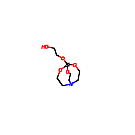 OCCO[Si]12OCCN(CCO1)CCO2